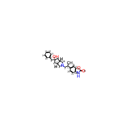 CC(CN1C[C@@H]2C[C@@](O)(Cc3ccccc3)C[C@@H]2C1)c1ccc2[nH]c(=O)oc2c1